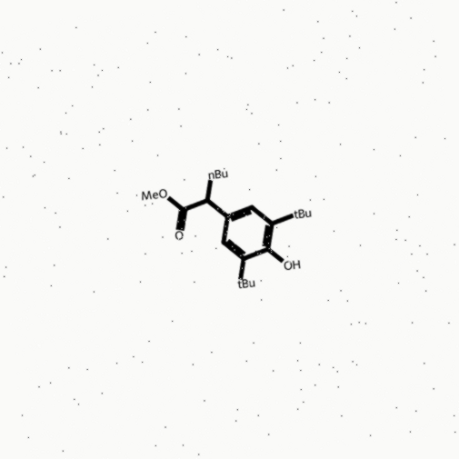 CCCCC(C(=O)OC)c1cc(C(C)(C)C)c(O)c(C(C)(C)C)c1